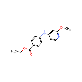 CCOC(=O)c1ccc(Nc2ccnc(OC)c2)cc1